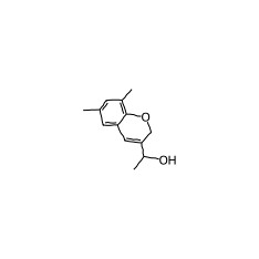 Cc1cc(C)c2c(c1)C=C(C(C)O)CO2